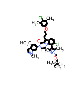 Cc1cc(OCCCc2c3n(c4c(-c5c(C)nn(COC[Si](C)(C)C)c5C)c(Cl)ccc24)C(C)CN(c2cc(C(=O)O)c4ccn(C)c4c2)C3=O)cc(C)c1Cl